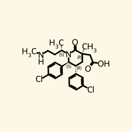 CNCC[C@H](C)N1C(=O)[C@@](C)(CC(=O)O)C[C@H](c2cccc(Cl)c2)[C@H]1c1ccc(Cl)cc1